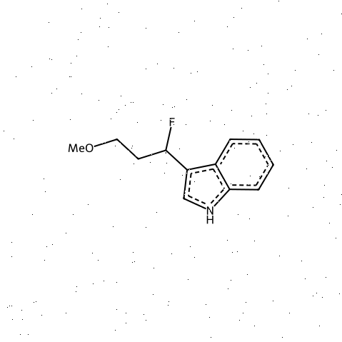 COCC[C](F)c1c[nH]c2ccccc12